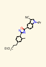 CCOC(=O)CCc1ccc(-c2noc(-c3ccc4c(c3)c(C#N)cn4C(C)C)n2)c(C)c1